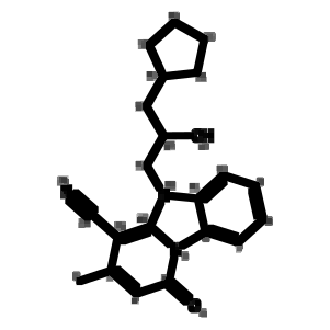 Cc1cc(=O)n2c3ccccc3n(CC(O)CC3CCCC3)c2c1C#N